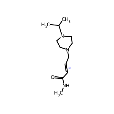 CNC(=O)/C=C/CN1CCN(C(C)C)CC1